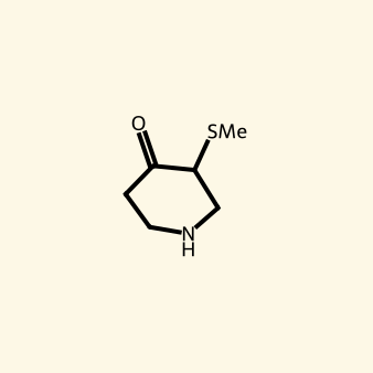 CSC1CNCCC1=O